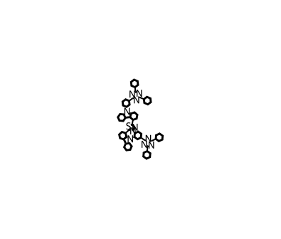 c1ccc(-c2nc(-c3ccccc3)nc(-c3cccc(-n4c5ccccc5c5c(-c6nnc(-c7cccc8c9ccccc9n(-c9cccc(-c%10nc(-c%11ccccc%11)nc(-c%11ccccc%11)n%10)c9)c78)s6)cccc54)c3)n2)cc1